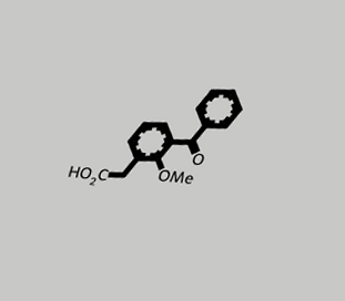 COc1c(CC(=O)O)cccc1C(=O)c1ccccc1